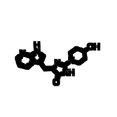 O=C1NC(N2CCC(O)CC2)=N/C1=C\c1c[nH]c2ncccc12